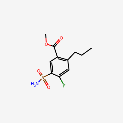 CCCc1cc(F)c(S(N)(=O)=O)cc1C(=O)OC